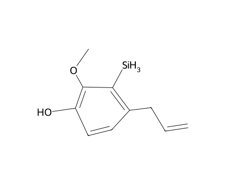 C=CCc1ccc(O)c(OC)c1[SiH3]